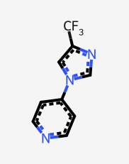 FC(F)(F)c1cn(-c2ccncc2)cn1